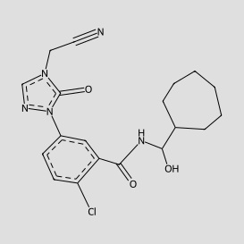 N#CCn1cnn(-c2ccc(Cl)c(C(=O)NC(O)C3CCCCCC3)c2)c1=O